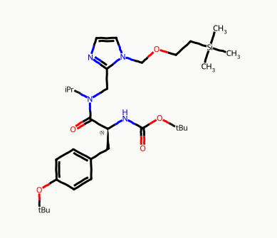 CC(C)N(Cc1nccn1COCC[Si](C)(C)C)C(=O)[C@H](Cc1ccc(OC(C)(C)C)cc1)NC(=O)OC(C)(C)C